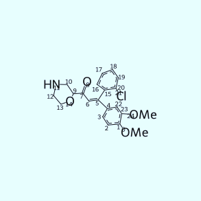 COc1ccc(/C(=C/C(=O)C2CNCCO2)c2ccccc2Cl)cc1OC